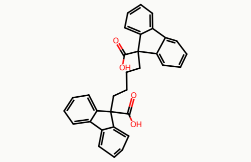 O=C(O)C1(CCCCC2(C(=O)O)c3ccccc3-c3ccccc32)c2ccccc2-c2ccccc21